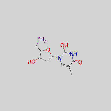 CC1=CN(C2CC(O)C(CP)O2)C(O)NC1=O